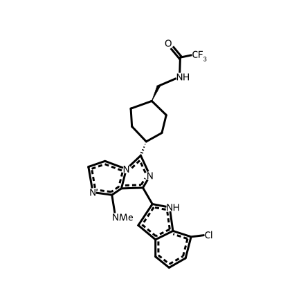 CNc1nccn2c1c(-c1cc3cccc(Cl)c3[nH]1)nc2[C@H]1CC[C@H](CNC(=O)C(F)(F)F)CC1